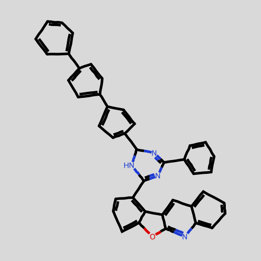 c1ccc(C2=NC(c3ccc(-c4ccc(-c5ccccc5)cc4)cc3)NC(c3cccc4oc5nc6ccccc6cc5c34)=N2)cc1